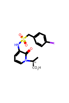 C[C@@H](C(=O)O)n1cccc(NS(=O)(=O)Cc2ccc(I)cc2)c1=O